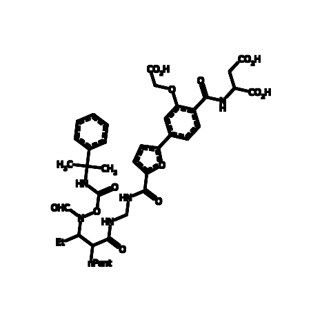 CCCCCC(C(=O)NCNC(=O)c1ccc(-c2ccc(C(=O)NC(CC(=O)O)C(=O)O)c(OCC(=O)O)c2)o1)C(CC)N(C=O)OC(=O)NC(C)(C)c1ccccc1